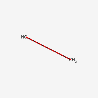 CC#CC#CC#CC#CC#CC#CC#CC#CC#CC#CC#CC#CC#CC#CC#CC#CC#CC#CC#CC#CC#CC#CC#CC#CC#CC#CC#CC#CC#CC#CC#CC#CC#CC#CC#N